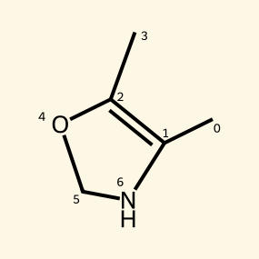 CC1=C(C)OCN1